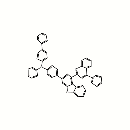 c1ccc(-c2ccc(N(c3ccccc3)c3ccc(-c4cc(-c5nc(-c6ccccc6)c6ccccc6n5)c5c(c4)oc4ccccc45)cc3)cc2)cc1